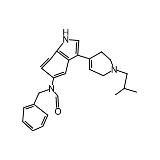 CC(C)CN1CC=C(c2c[nH]c3ccc(N(C=O)Cc4ccccc4)cc23)CC1